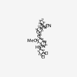 COc1cc2c(Nc3ccc(Cl)c(Cl)c3)ncnc2cc1OCC1CN(C(=NC#N)N2CCCC2)CCO1